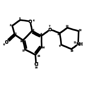 O=C1CCOc2c(OC3CCNCC3)cc(Cl)cc21